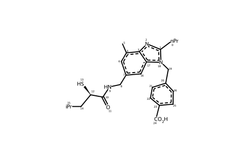 CCCc1nc2c(C)cc(CNC(=O)[C@H](S)CC(C)C)cc2n1Cc1ccc(C(=O)O)cc1